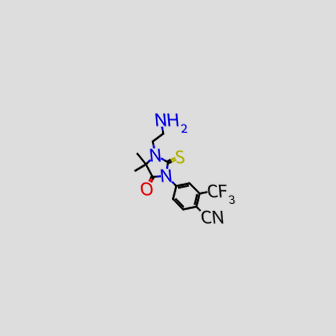 CC1(C)C(=O)N(c2ccc(C#N)c(C(F)(F)F)c2)C(=S)N1CCN